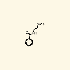 CNCCNC(=O)c1cc[c]cc1